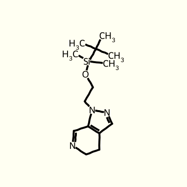 CC(C)(C)[Si](C)(C)OCCn1ncc2c1C=NCC2